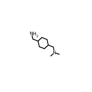 CN(C)CC1CCC(CN)CC1